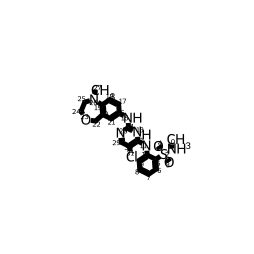 CNS(=O)(=O)c1ccccc1Nc1nc(Nc2ccc3c(c2)COCCN3C)ncc1Cl